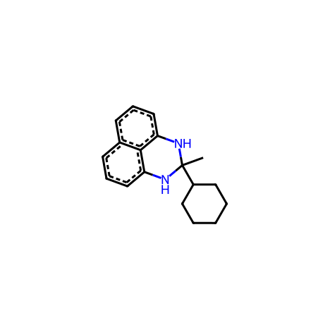 CC1(C2CCCCC2)Nc2cccc3cccc(c23)N1